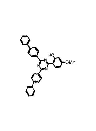 COc1ccc(-c2nc(-c3ccc(-c4ccccc4)cc3)nc(-c3ccc(-c4ccccc4)cc3)n2)c(O)c1